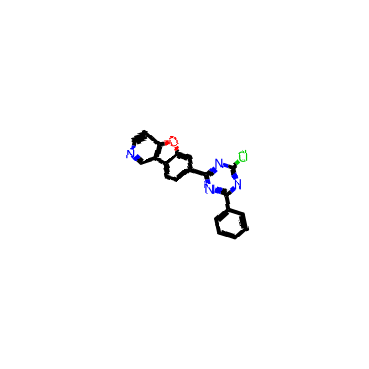 Clc1nc(-c2ccccc2)nc(-c2ccc3c(c2)oc2ccncc23)n1